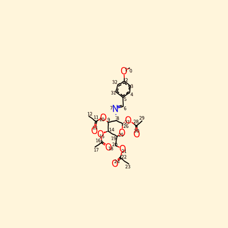 COc1ccc(/C=N/[C@H]2C(OC(C)=O)[C@H](OC(C)=O)C(COC(C)=O)O[C@H]2OC(C)=O)cc1